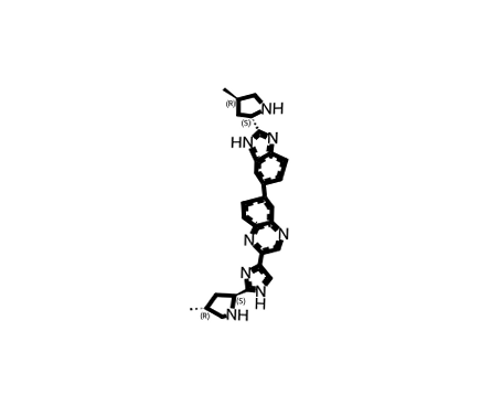 C[C@H]1CN[C@H](c2nc(-c3cnc4cc(-c5ccc6nc([C@@H]7C[C@@H](C)CN7)[nH]c6c5)ccc4n3)c[nH]2)C1